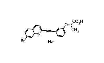 CC(Oc1cccc(C#Cc2ccc3ccc(Br)cc3n2)c1)C(=O)O.[Na]